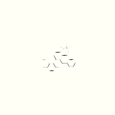 CC1=c2c(ccc3c2=C(c2ccccc2)Oc2ccc(Cl)c(OC(F)F)c2-3)NC(C)(C)C1